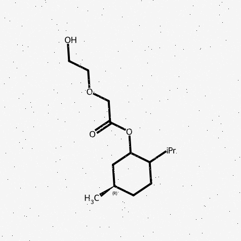 CC(C)C1CC[C@@H](C)CC1OC(=O)COCCO